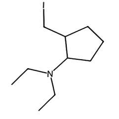 CCN(CC)C1CCCC1CI